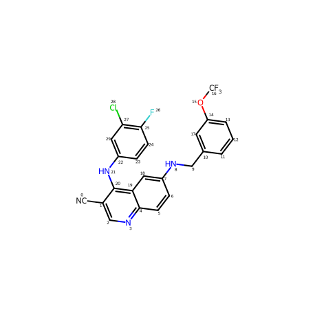 N#Cc1cnc2ccc(NCc3cccc(OC(F)(F)F)c3)cc2c1Nc1ccc(F)c(Cl)c1